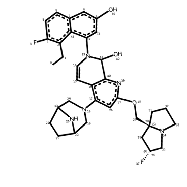 CCc1c(F)ccc2cc(O)cc(N3C=Cc4c(N5CC6CCC(C5)N6)cc(OC[C@@]56CCCN5C[C@H](F)C6)nc4C3O)c12